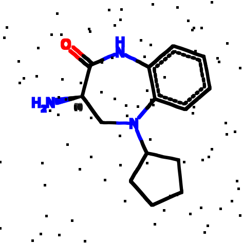 N[C@@H]1CN(C2CCCC2)c2ccccc2NC1=O